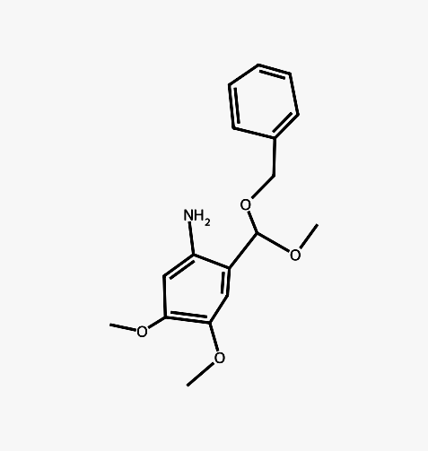 COc1cc(N)c(C(OC)OCc2ccccc2)cc1OC